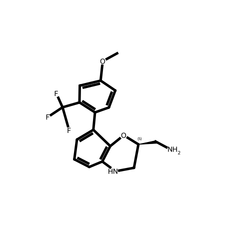 COc1ccc(-c2cccc3c2O[C@@H](CN)CN3)c(C(F)(F)F)c1